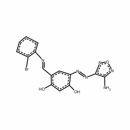 Nc1nonc1N=Nc1cc(C=Nc2ccccc2Br)c(O)cc1O